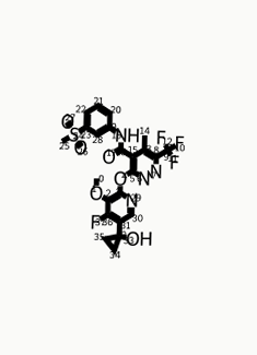 COc1c(Oc2nnc(C(F)(F)F)c(C)c2C(=O)Nc2cccc(S(C)(=O)=O)c2)ncc(C2(O)CC2)c1F